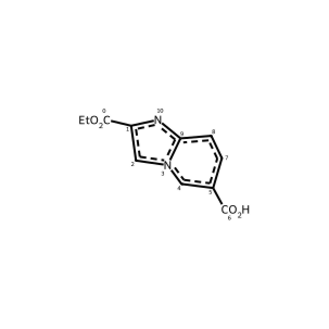 CCOC(=O)c1cn2cc(C(=O)O)ccc2n1